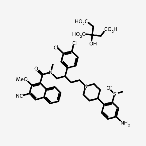 COc1c(C#N)cc2ccccc2c1C(=O)N(C)CC(CCN1CCC(c2ccc(N)cc2[S+](C)[O-])CC1)c1ccc(Cl)c(Cl)c1.O=C(O)CC(O)(CC(=O)O)C(=O)O